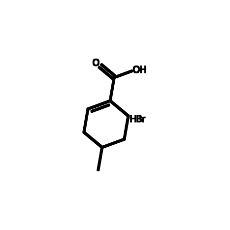 Br.CC1CC=C(C(=O)O)CC1